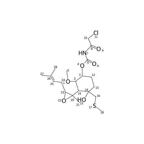 COC1C(OC(=O)NC(=O)CCl)CCC(O)(CSC)C1C1(C)OC1CC=C(C)C